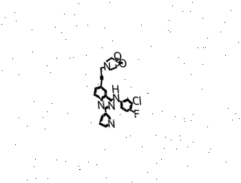 O=S1(=O)CCN(CC#Cc2ccc3nc(-c4cccnc4)nc(Nc4ccc(F)c(Cl)c4)c3c2)CC1